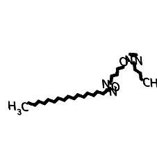 CCCCCCCCCCCCCCCCCc1noc(CCCCOn2ccnc2CCCC)n1